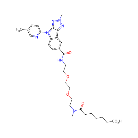 CN(CCOCCOCCNC(=O)c1ccc2c(c1)c1nn(C)nc1n2-c1ccc(C(F)(F)F)cn1)C(=O)CCCCCC(=O)O